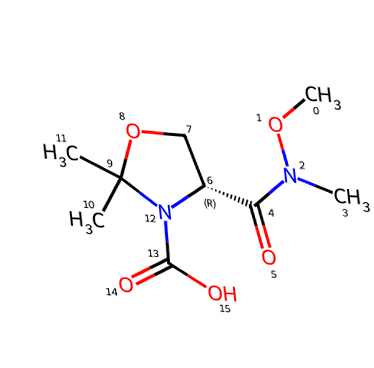 CON(C)C(=O)[C@H]1COC(C)(C)N1C(=O)O